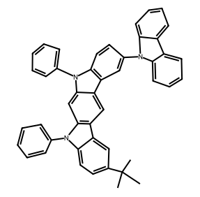 CC(C)(C)c1ccc2c(c1)c1cc3c4cc(-n5c6ccccc6c6ccccc65)ccc4n(-c4ccccc4)c3cc1n2-c1ccccc1